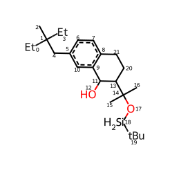 CCC(C)(CC)Cc1ccc2c(c1)C(O)C(C(C)(C)O[SiH2]C(C)(C)C)CC2